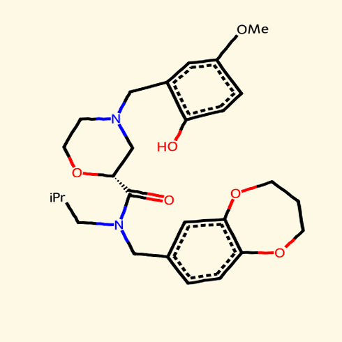 COc1ccc(O)c(CN2CCO[C@@H](C(=O)N(Cc3ccc4c(c3)OCCCO4)CC(C)C)C2)c1